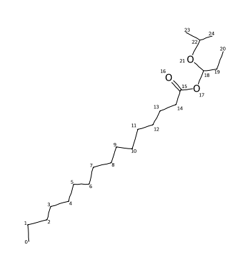 CCCCCCCCCCCCCCCC(=O)OC(CC)OC(C)C